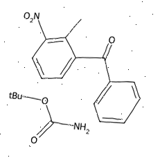 CC(C)(C)OC(N)=O.Cc1c(C(=O)c2ccccc2)cccc1[N+](=O)[O-]